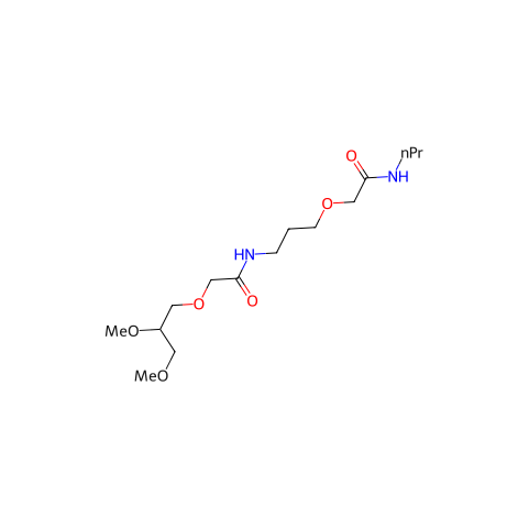 CCCNC(=O)COCCCNC(=O)COCC(COC)OC